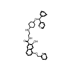 O=C(NCCNC1CCC(OC(c2ccccc2)c2ccccc2)CC1)c1cc2cccc(OCc3ccccn3)c2cc1O